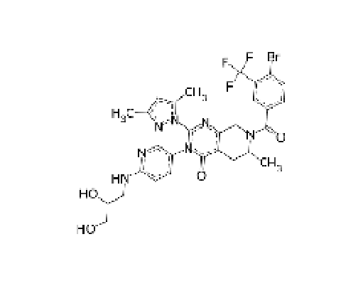 Cc1cc(C)n(-c2nc3c(c(=O)n2-c2ccc(NCC(O)CO)nc2)CC(C)N(C(=O)c2ccc(Br)c(C(F)(F)F)c2)C3)n1